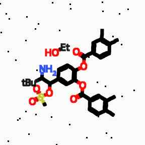 CCO.Cc1ccc(C(=O)Oc2ccc(C(OS(C)(=O)=O)C(N)C(C)(C)C)cc2OC(=O)c2ccc(C)c(C)c2)cc1C